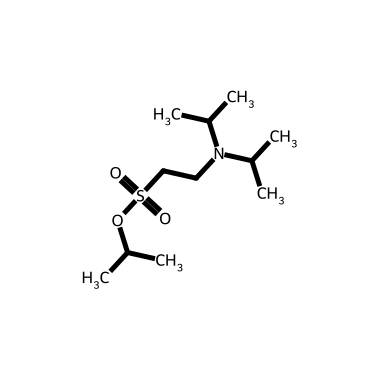 CC(C)OS(=O)(=O)CCN(C(C)C)C(C)C